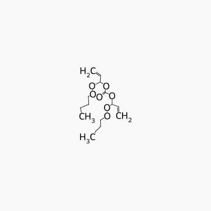 C=CC(OOCCCC)OC(=O)OC(C=C)OOCCCC